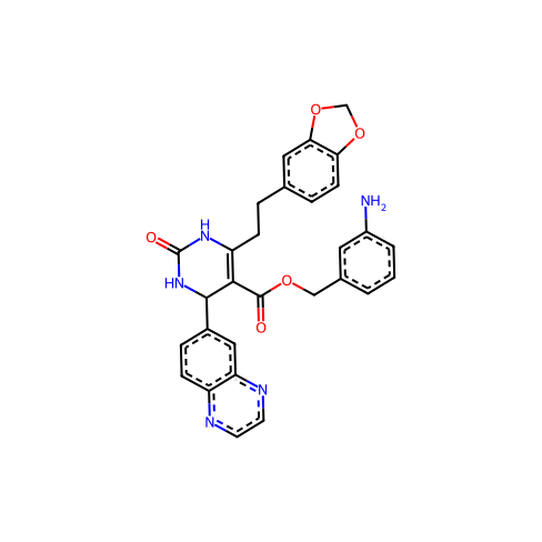 Nc1cccc(COC(=O)C2=C(CCc3ccc4c(c3)OCO4)NC(=O)NC2c2ccc3nccnc3c2)c1